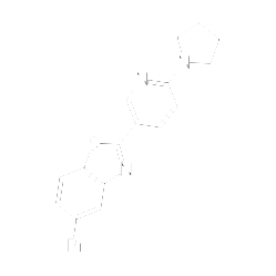 Brc1ccc2sc(-c3ccc(N4CCCC4)nc3)nc2c1